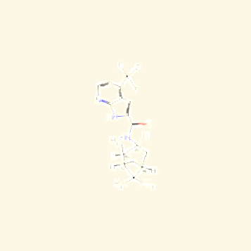 C[C@@H]1[C@@H](NC(=O)c2cc3c(C(F)(F)F)ccnc3[nH]2)C[C@H]2C[C@@H]1C2(C)C